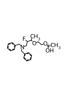 CC(OCCO[C@H](C)O)C(F)CN(Cc1ccccc1)Cc1ccccc1